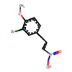 COc1ccc(/C=C/[N+](=O)O)cc1Br